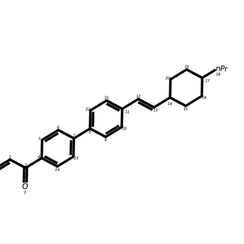 C=CC(=O)c1ccc(-c2ccc(C=CC3CCC(CCC)CC3)cc2)cc1